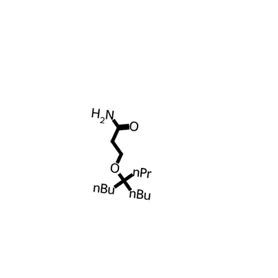 CCCCC(CCC)(CCCC)OCCC(N)=O